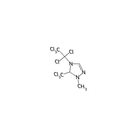 CN1N=CN(C(Cl)(Cl)C(Cl)(Cl)Cl)C1C(Cl)(Cl)Cl